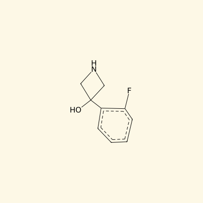 OC1(c2ccccc2F)CNC1